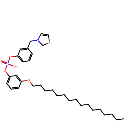 CCCCCCCCCCCCCCCCOc1cccc(OP(=O)(O)Oc2cccc(CN3C=CSC3)c2)c1